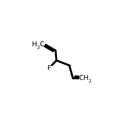 C=C[CH]C(F)C=C